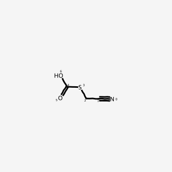 N#CCSC(=O)O